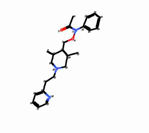 CC(=O)N(OCC1C(C)CN(CCc2ccccn2)CC1C)c1ccccc1